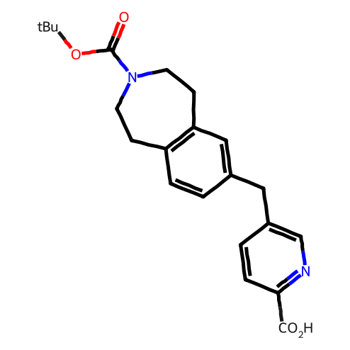 CC(C)(C)OC(=O)N1CCc2ccc(Cc3ccc(C(=O)O)nc3)cc2CC1